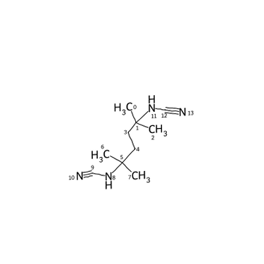 CC(C)(CCC(C)(C)NC#N)NC#N